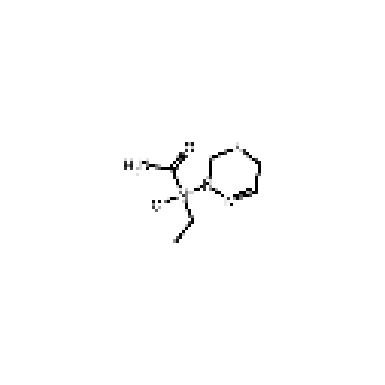 CC[N+]([O-])(C(N)=O)N1CSCC=N1